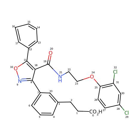 O=C(O)CCc1cccc(-c2noc(-c3ccccc3)c2C(=O)NCCOc2ccc(Cl)cc2Cl)c1